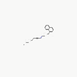 COCC(=O)NCCC#C/C=C/CN[C@H](C)c1cccc2ccccc12